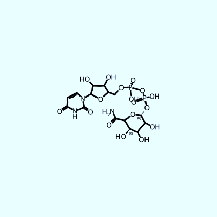 NC(=O)C1O[C@H](OP(=O)(O)OP(=O)(O)OCC2OC(n3ccc(=O)[nH]c3=O)C(O)C2O)C(O)C(O)[C@H]1O